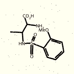 COc1ccccc1S(=O)(=O)NC(C)C(N)C(=O)O